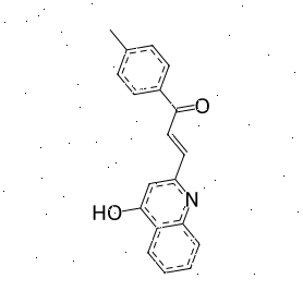 Cc1ccc(C(=O)/C=C/c2cc(O)c3ccccc3n2)cc1